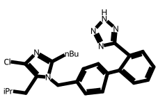 CCCCc1nc(Cl)c(CC(C)C)n1Cc1ccc(-c2ccccc2-c2nn[nH]n2)cc1